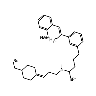 CCCC(CCCc1cccc(/C(C)=C/c2ccccc2NC)c1)NCCC=C1CCC(CC(C)CC)CC1